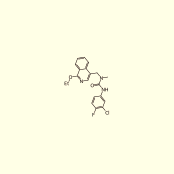 CCOc1ncc(CN(C)C(=O)Nc2ccc(F)c(Cl)c2)c2ccccc12